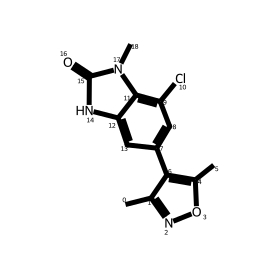 Cc1noc(C)c1-c1cc(Cl)c2c(c1)[nH]c(=O)n2C